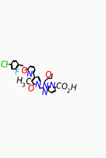 Cc1c(-c2cccc(OCc3ccc(Cl)cc3F)n2)ccn(Cc2nc3ccc(C(=O)O)nc3n2CC2CCO2)c1=O